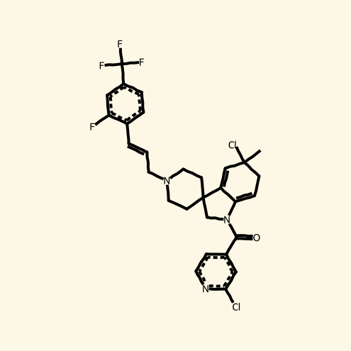 CC1(Cl)C=C2C(=CC1)N(C(=O)c1ccnc(Cl)c1)CC21CCN(C/C=C/c2ccc(C(F)(F)F)cc2F)CC1